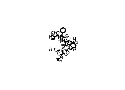 CCC[C@H](NC(=O)[C@@H]1C[C@@H]2CCCC[C@@H]2N1C(=O)[C@@H](NC(=O)C(NC(=O)c1ccnn1C)C1CCCCC1)C(C)(C)C)C(=O)C(=O)NC1CC1